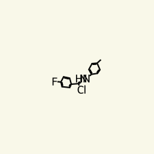 Cc1ccc(NN=C(Cl)c2ccc(F)cc2)cc1